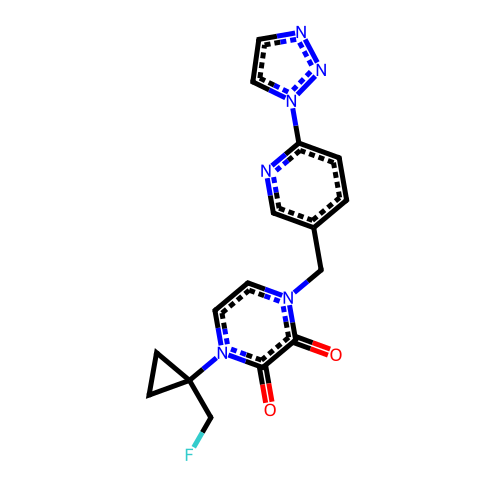 O=c1c(=O)n(C2(CF)CC2)ccn1Cc1ccc(-n2ccnn2)nc1